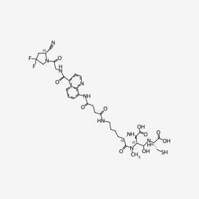 CN(C(=O)[C@@H](N)CCCCNC(=O)CCC(=O)Nc1cccc2c(C(=O)NCC(=O)N3CC(F)(F)C[C@H]3C#N)ccnc12)[C@@H](CC(=O)O)C(O)N[C@@H](CS)C(=O)O